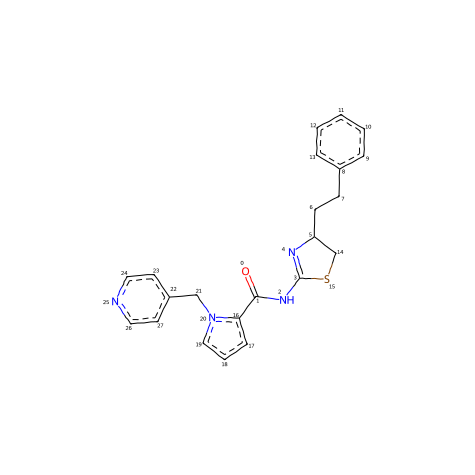 O=C(NC1=NC(CCc2ccccc2)CS1)c1cccn1Cc1ccncc1